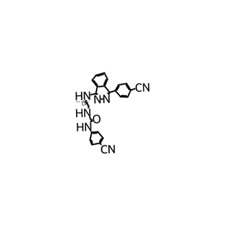 C[C@@H](CNC(=O)Nc1ccc(C#N)cc1)Nc1nnc(-c2ccc(C#N)cc2)c2ccccc12